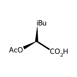 CC[C@H](C)[C@H](OC(C)=O)C(=O)O